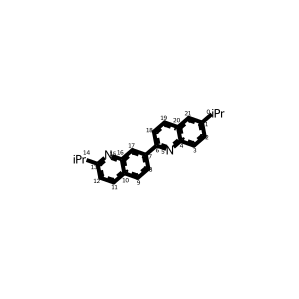 CC(C)c1ccc2nc(-c3ccc4ccc(C(C)C)nc4c3)ccc2c1